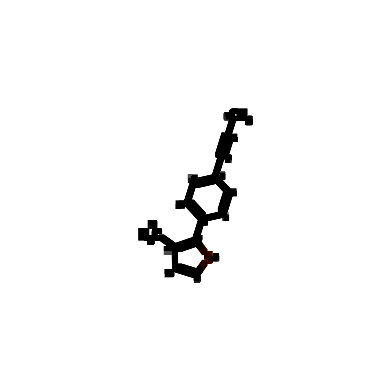 CC#Cc1ccc(-c2sccc2C)cc1